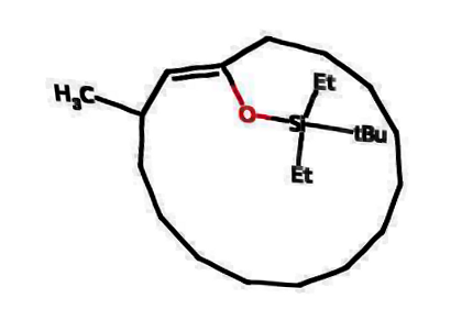 CC[Si](CC)(O/C1=C\C(C)CCCCCCCCCCCC1)C(C)(C)C